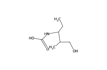 CCC(NC(=O)O)C(C)CO